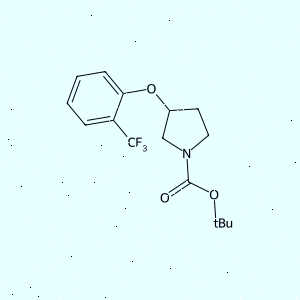 CC(C)(C)OC(=O)N1CCC(Oc2ccccc2C(F)(F)F)C1